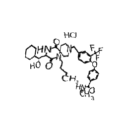 CCCCN1C(=O)[C@@H]([C@H](O)C2CCCCC2)NC(=O)C12CCN(Cc1ccc(Oc3ccc(C(=O)NC)cc3)c(C(F)(F)F)c1)CC2.Cl